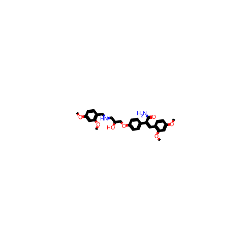 COc1ccc(/C=C(\C(N)=O)c2ccc(OCC(O)CNCc3ccc(OC)cc3OC)cc2)c(OC)c1